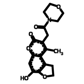 Cc1c(CC(=O)N2CCOCC2)c(=O)oc2cc(O)c3c(c12)CCO3